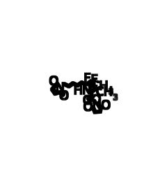 CC(C)C(NC(CCCCCN1C(=O)C=CC1=O)C(F)(F)F)C(=O)ON1C(=O)CCC1=O